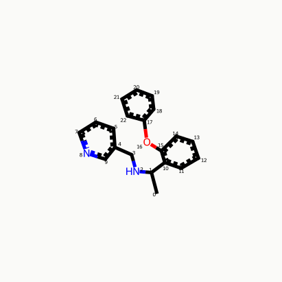 CC(NCc1cccnc1)c1ccccc1Oc1ccccc1